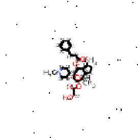 CC1=C2[C@@H](CC1)[C@]1(C)O[C@@](C3CCN(C)CC3)(C[C@H]1OC(=O)CO)[C@H]2OC(=O)/C=C/c1ccccc1